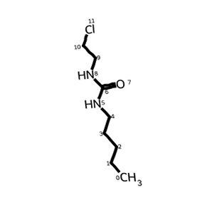 CCCCCNC(=O)NCCCl